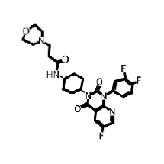 O=C(CCN1CCOCC1)N[C@H]1CC[C@@H](n2c(=O)c3cc(F)cnc3n(-c3ccc(F)c(F)c3)c2=O)CC1